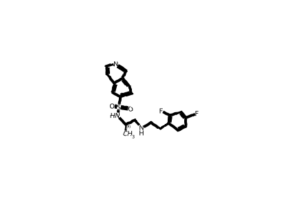 C[C@H](CNCCc1ccc(F)cc1F)NS(=O)(=O)c1ccc2cnccc2c1